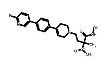 C[S+]([O-])C(C)(CCN1CC=C(c2ccc(-c3ccc(F)nc3)cc2)CC1)C(=O)NO